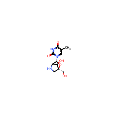 Cc1cn([C@@H]2O[C@@]3(CO)CNC2C3O)c(=O)[nH]c1=O